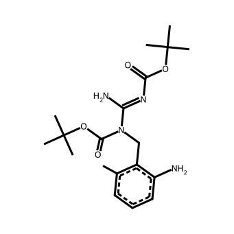 Cc1cccc(N)c1CN(C(=O)OC(C)(C)C)C(N)=NC(=O)OC(C)(C)C